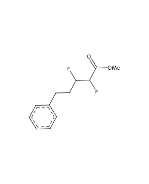 COC(=O)C(F)C(F)CCc1ccccc1